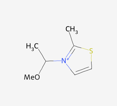 COC(C)[n+]1ccsc1C